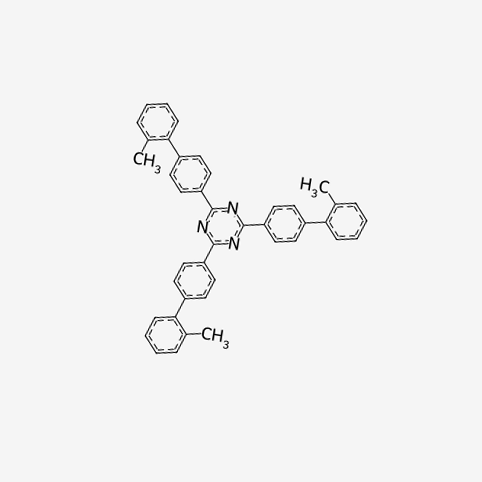 Cc1ccccc1-c1ccc(-c2nc(-c3ccc(-c4ccccc4C)cc3)nc(-c3ccc(-c4ccccc4C)cc3)n2)cc1